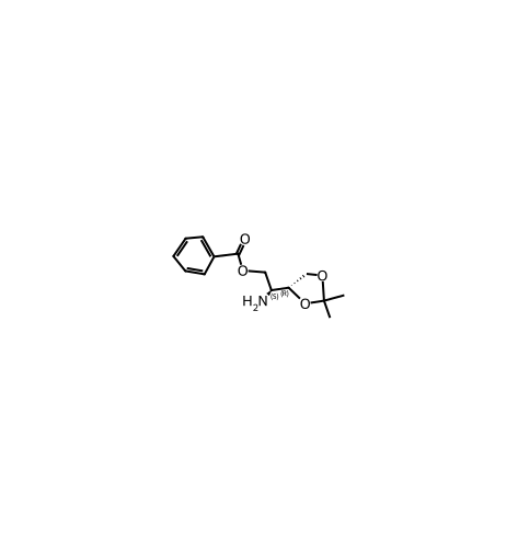 CC1(C)OC[C@@H]([C@@H](N)COC(=O)c2ccccc2)O1